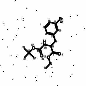 CCOC(=O)C(Cc1cccc(Br)c1)NC(=O)OC(C)(C)C